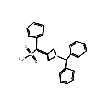 CS(=O)(=O)C(=C1CN(C(c2ccccc2)c2ccccc2)C1)c1ccccc1